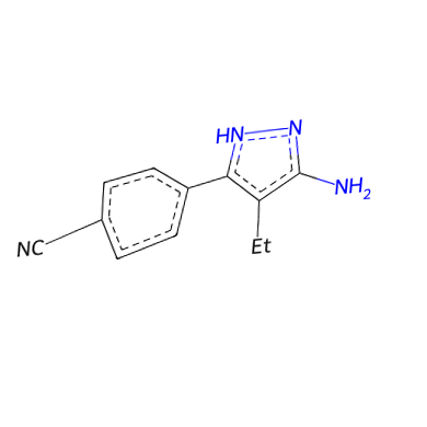 CCc1c(N)n[nH]c1-c1ccc(C#N)cc1